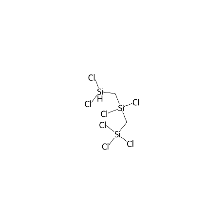 Cl[SiH](Cl)C[Si](Cl)(Cl)C[Si](Cl)(Cl)Cl